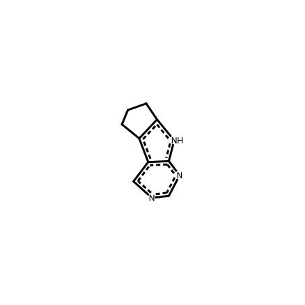 c1ncc2c3c([nH]c2n1)CCC3